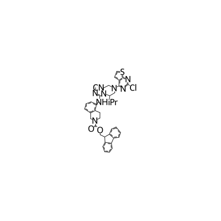 CC(C)C1CN(c2nc(Cl)nc3sccc23)CCN1C(=NC#N)Nc1cccc2c1CCN(C(=O)OCC1c3ccccc3-c3ccccc31)C2